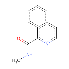 CNC(=O)c1nccc2ccccc12